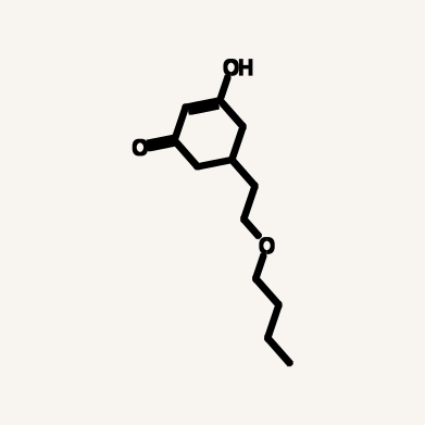 CCCCOCCC1CC(=O)C=C(O)C1